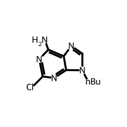 CCCCn1cnc2c(N)nc(Cl)nc21